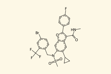 CNC(=O)c1c(-c2ccc(F)cc2)oc2cc(N(Cc3ccc(Br)cc3C(F)(F)F)S(C)(=O)=O)c(C3CC3)cc12